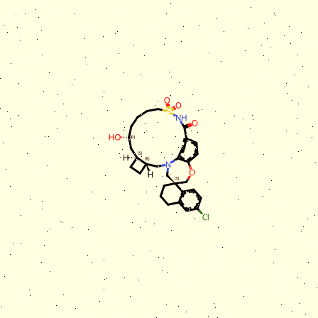 O=C1NS(=O)(=O)CCCC[C@@H](O)C[C@@H]2CC[C@H]2CN2C[C@@]3(CCCc4cc(Cl)ccc43)COc3ccc1cc32